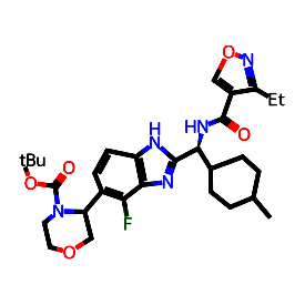 CCc1nocc1C(=O)N[C@H](c1nc2c(F)c(C3COCCN3C(=O)OC(C)(C)C)ccc2[nH]1)C1CCC(C)CC1